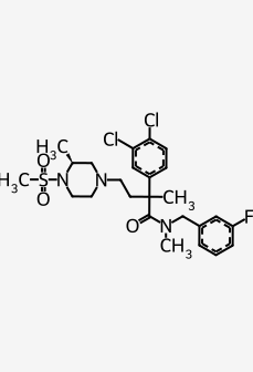 C[C@H]1CN(CCC(C)(C(=O)N(C)Cc2cccc(F)c2)c2ccc(Cl)c(Cl)c2)CCN1S(C)(=O)=O